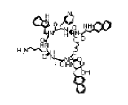 C[C@@H]1NC(=O)[C@H](CCCCN)NC(=O)[C@@H](Cc2c[nH]c3ccccc23)NC(=O)[C@H](Cc2cccnc2)NC(=O)[C@H](NC(=O)[C@@H](N)Cc2ccc3ccccc3c2)CSSC[C@@H](C(=O)N[C@@H](Cc2ccc3ccccc3c2)C(=O)O)NC1=O